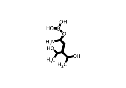 CC(O)C(CC(N)OB(O)O)C(C)O